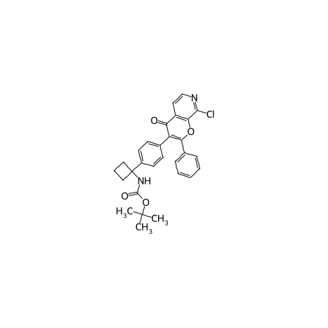 CC(C)(C)OC(=O)NC1(c2ccc(-c3c(-c4ccccc4)oc4c(Cl)nccc4c3=O)cc2)CCC1